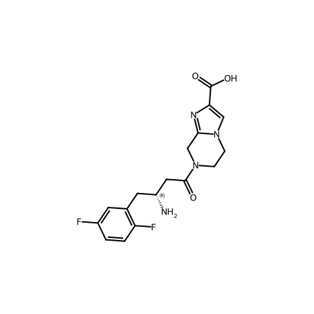 N[C@@H](CC(=O)N1CCn2cc(C(=O)O)nc2C1)Cc1cc(F)ccc1F